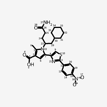 Cc1c(C(=O)O)cc(-c2csc(-c3ccc([N+](=O)[O-])cc3)n2)n1C(CCC(N)=O)CC1CCCCC1